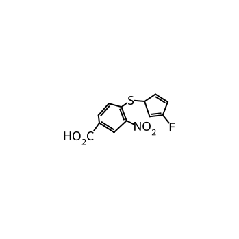 O=C(O)c1ccc(SC2C=CC(F)=C2)c([N+](=O)[O-])c1